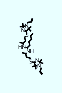 C=CCN1C(C)(C)N=C(SCCC(C)NC(CCCCC)NC(C)CCSC2=NC(C)(C)N(CC=C)C2(C)C)C1(C)C